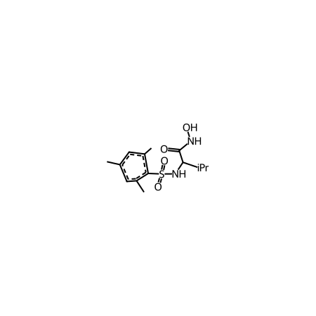 Cc1cc(C)c(S(=O)(=O)NC(C(=O)NO)C(C)C)c(C)c1